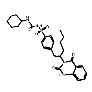 CCCCC(Cc1ccc(S(=O)(=O)NC(=O)NC2CCCCC2)cc1)n1c(=O)[nH]c2ccccc2c1=O